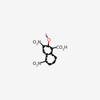 O=C(O)c1c(OI)c([N+](=O)[O-])cc2c([N+](=O)[O-])cccc12